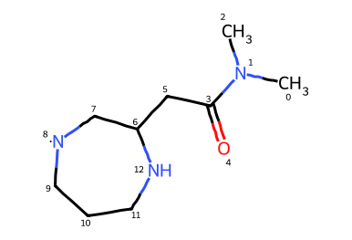 CN(C)C(=O)CC1C[N]CCCN1